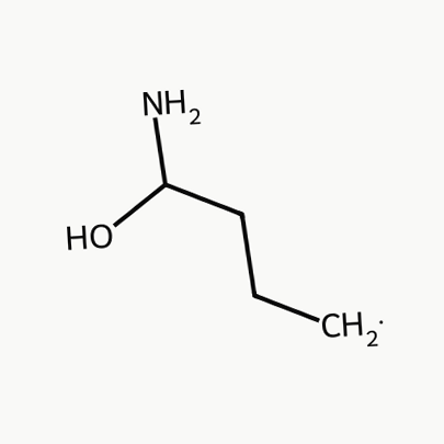 [CH2]CCC(N)O